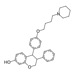 Oc1ccc2c(c1)OCC(c1ccccc1)C2c1ccc(OCCCCN2CCCCC2)cc1